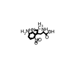 Cc1[nH]c2c(N)ccc([N+](=O)[O-])c2c1CC(N)C(=O)O